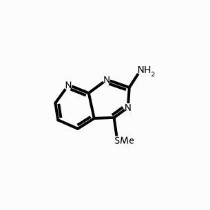 CSc1nc(N)nc2ncccc12